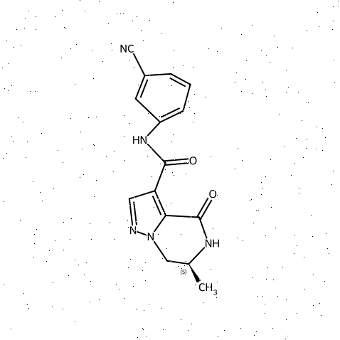 C[C@H]1Cn2ncc(C(=O)Nc3cccc(C#N)c3)c2C(=O)N1